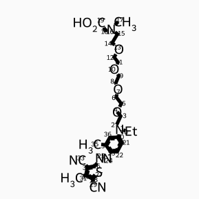 CCN(CCOCCOCCOCCOCCN(C)CC(=O)O)c1ccc(/N=N/c2sc(C#N)c(C)c2C#N)c(C)c1